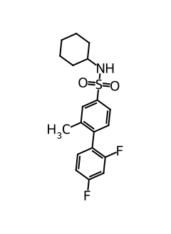 Cc1cc(S(=O)(=O)NC2CCCCC2)ccc1-c1ccc(F)cc1F